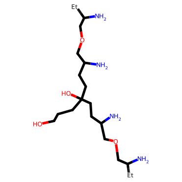 CCC(N)COCC(N)CCC(O)(CCCO)CCC(N)COCC(N)CC